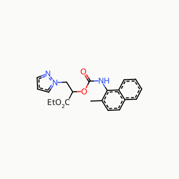 CCOC(=O)C(Cn1cccn1)OC(=O)Nc1c(C)ccc2ccccc12